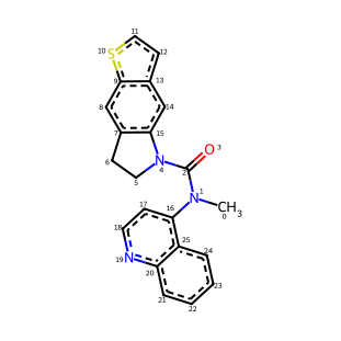 CN(C(=O)N1CCc2cc3sccc3cc21)c1ccnc2ccccc12